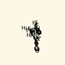 Cc1cc(Nc2cc(N3CC(N4CCOCC4)C3)nc(Sc3ccc4nc(CC(F)(F)F)n(C)c4c3)n2)[nH]n1